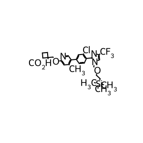 Cc1cc(OCC2(C(=O)O)CCC2)ncc1-c1ccc(-c2nc(C(F)(F)F)cn2COCC[Si](C)(C)C)c(Cl)c1